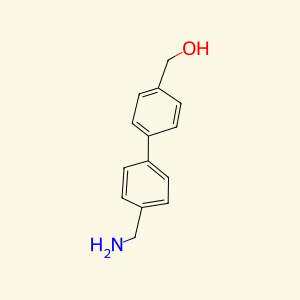 NCc1ccc(-c2ccc(CO)cc2)cc1